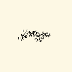 C[C@H](/C=C/S(C)(=O)=O)NC(=O)c1ncc(OC(c2cccc(F)c2Cl)C2CN(CC(F)(F)F)C2)cn1